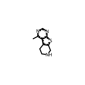 Cc1ncnc2sc3c(c12)CCNC3